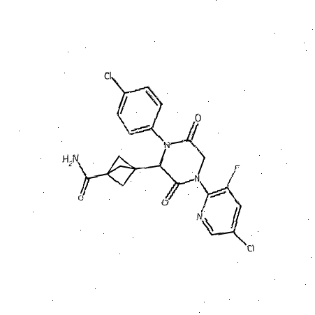 NC(=O)C12CC(C3C(=O)N(c4ncc(Cl)cc4F)CC(=O)N3c3ccc(Cl)cc3)(C1)C2